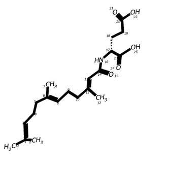 CC(C)=CCCC(C)=CCCC(C)=CC(=O)N[C@H](CCC(=O)O)C(=O)O